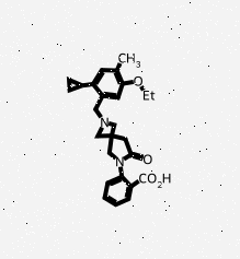 CCOc1cc(CN2CC3(CC(=O)N(c4ccccc4C(=O)O)C3)C2)c(C2CC2)cc1C